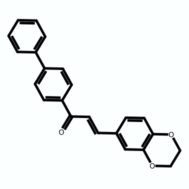 O=C(/C=C/c1ccc2c(c1)OCCO2)c1ccc(-c2ccccc2)cc1